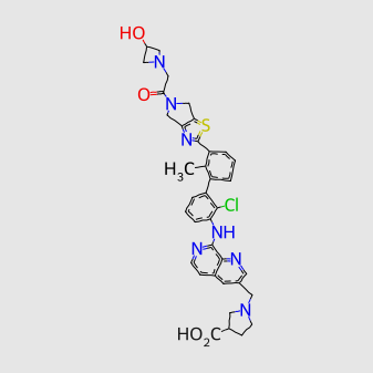 Cc1c(-c2nc3c(s2)CN(C(=O)CN2CC(O)C2)C3)cccc1-c1cccc(Nc2nccc3cc(CN4CCC(C(=O)O)C4)cnc23)c1Cl